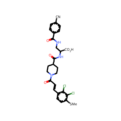 CSc1ccc(C=CC(=O)N2CCC(C(=O)NC(CNC(=O)c3ccc(C#N)cc3)C(=O)O)CC2)c(Cl)c1Cl